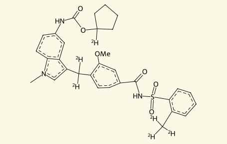 [2H]C1(OC(=O)Nc2ccc3c(c2)c(C([2H])([2H])c2ccc(C(=O)NS(=O)(=O)c4ccccc4C([2H])([2H])[2H])cc2OC)cn3C)CCCC1